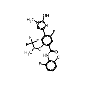 C[C@H](Oc1cc(-c2cn(C)c(O)n2)c(F)cc1C(=O)Nc1c(F)cccc1Cl)C(F)(F)F